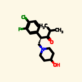 CC(C)C(=O)[C@H](CN1CCC(O)CC1)c1ccc(Cl)c(F)c1